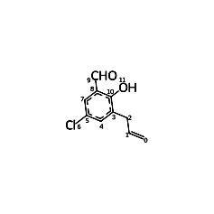 C=CCc1cc(Cl)cc(C=O)c1O